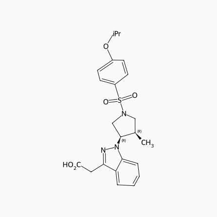 CC(C)Oc1ccc(S(=O)(=O)N2C[C@@H](C)[C@@H](n3nc(CC(=O)O)c4ccccc43)C2)cc1